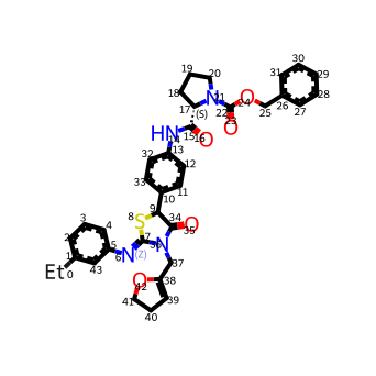 CCc1cccc(/N=C2\SC(c3ccc(NC(=O)[C@@H]4CCCN4C(=O)OCc4ccccc4)cc3)C(=O)N2CC2=CCCO2)c1